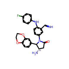 N=Cc1cc(N2C(=O)C[C@H](N)C2c2ccc3c(c2)OCCO3)ccc1Nc1ccc(F)cc1